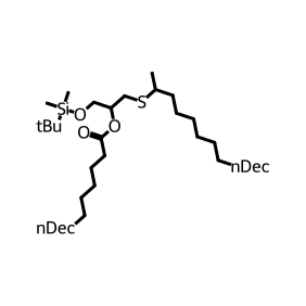 CCCCCCCCCCCCCCCCC(C)SCC(CO[Si](C)(C)C(C)(C)C)OC(=O)CCCCCCCCCCCCCCC